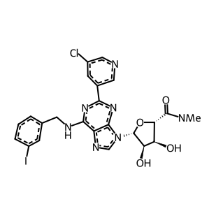 CNC(=O)[C@H]1O[C@@H](n2cnc3c(NCc4cccc(I)c4)nc(-c4cncc(Cl)c4)nc32)[C@H](O)[C@@H]1O